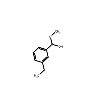 CCc1cccc(B(O)OC)c1